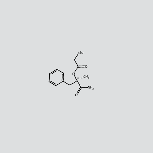 CC(C)(C)CC(=O)O[C@](C)(Cc1ccccc1)C(N)=O